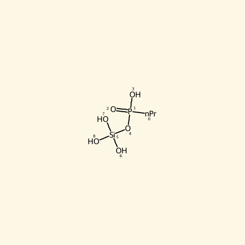 CCCP(=O)(O)O[Si](O)(O)O